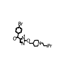 CC(C)CCN1CCC(COc2ncc(C(=O)c3ccc(Br)cc3)n2C)CC1